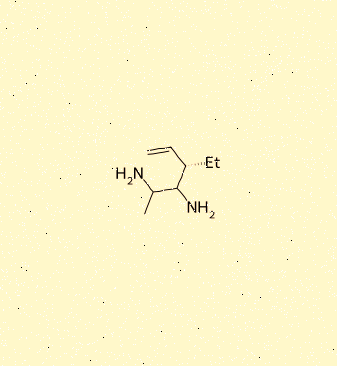 C=C[C@H](CC)C(N)C(C)N